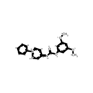 COc1cc(OC)cc(OC(=O)N=c2ccn(-c3ccccc3)nc2)c1